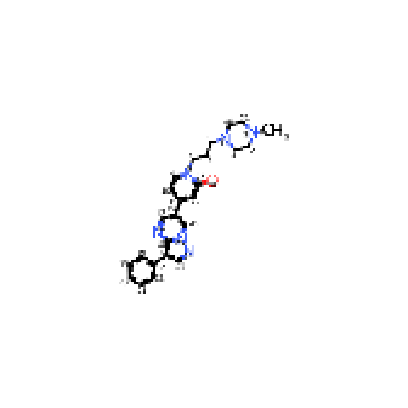 CN1CCN(CCCn2ccc(-c3cnc4c(-c5ccccc5)cnn4c3)cc2=O)CC1